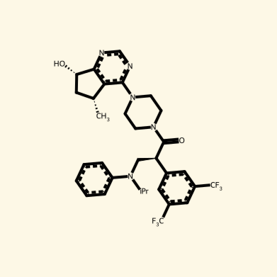 CC(C)N(C[C@@H](C(=O)N1CCN(c2ncnc3c2[C@H](C)C[C@@H]3O)CC1)c1cc(C(F)(F)F)cc(C(F)(F)F)c1)c1ccccc1